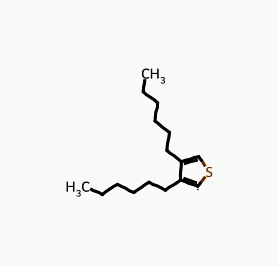 CCCCCCc1[c]scc1CCCCCC